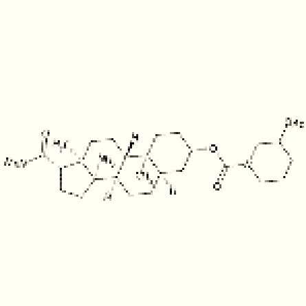 CNC(=O)[C@H]1CC[C@]2(N)[C@@H]3CC[C@@H]4C[C@@H](OC(=O)N5CCCC(OC(C)=O)C5)CC[C@]4(C)[C@H]3CC[C@]12C